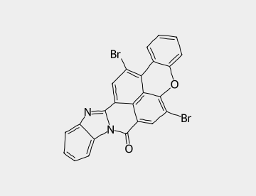 O=c1c2cc(Br)c3oc4ccccc4c4c(Br)cc(c2c34)c2nc3ccccc3n12